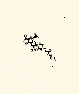 CCOC(=O)CCN1CCN(c2cc3c(cc2[N+](=O)[O-])c(=O)c(C(=O)O)cn3C2CC2)CC1